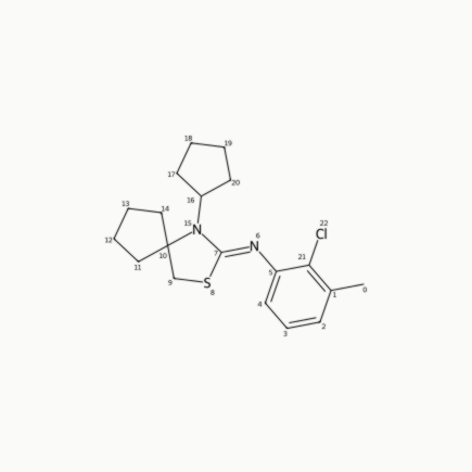 Cc1cccc(N=C2SCC3(CCCC3)N2C2CCCC2)c1Cl